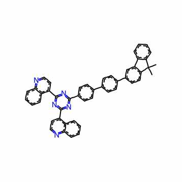 CC1(C)c2ccccc2-c2cc(-c3ccc(-c4ccc(-c5nc(-c6ccnc7ccccc67)nc(-c6ccnc7ccccc67)n5)cc4)cc3)ccc21